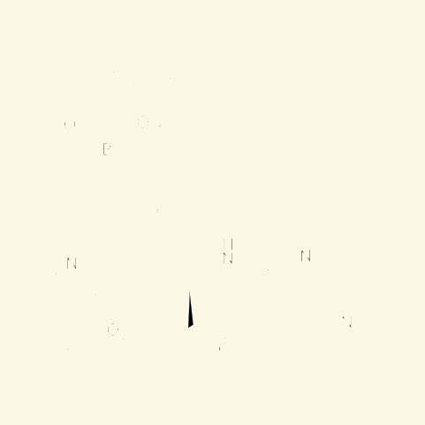 CC[C@H](Nc1nc(C)nc(C)c1Cl)c1cc(B2OC(C)(C)C(C)(C)O2)cnc1OC